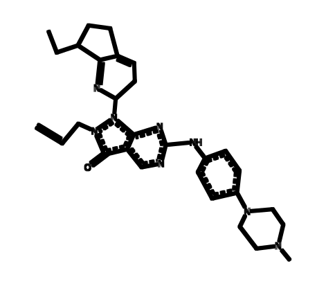 C=CCn1c(=O)c2cnc(Nc3ccc(N4CCN(C)CC4)cc3)nc2n1C1CC=C2CCC(CC)C2=N1